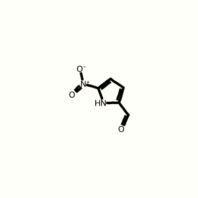 O=Cc1ccc([N+](=O)[O-])[nH]1